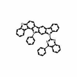 c1ccc(-c2nc(-n3c4ccccc4c4cc5c6ccc7oc8ccccc8c7c6n(-c6ccccc6)c5cc43)nc3ccccc23)cc1